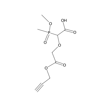 C#CCOC(=O)COC(C(=O)O)P(C)(=O)OC